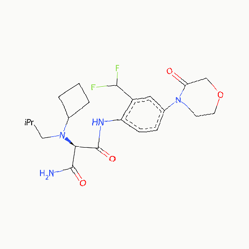 CC(C)CN(C1CCC1)[C@H](C(N)=O)C(=O)Nc1ccc(N2CCOCC2=O)cc1C(F)F